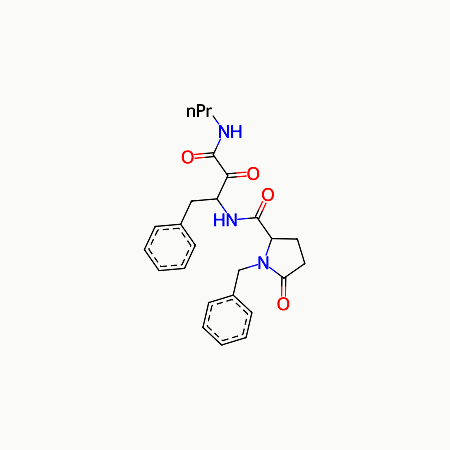 CCCNC(=O)C(=O)C(Cc1ccccc1)NC(=O)C1CCC(=O)N1Cc1ccccc1